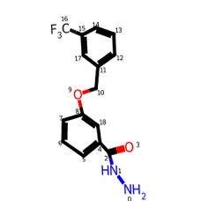 NNC(=O)c1cccc(OCc2cccc(C(F)(F)F)c2)c1